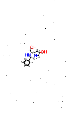 OCCNC(CN1CCC(O)C1)c1ccccc1